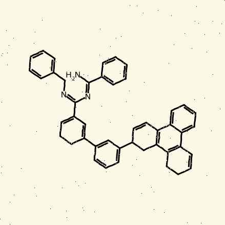 N/C(=N\C(=N/Cc1ccccc1)C1=CCCC(c2cccc(C3C=Cc4c(c5c(c6ccccc46)C=CCC5)C3)c2)=C1)c1ccccc1